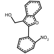 O=[N+]([O-])c1ccccc1-c1oc2ccccc2c1CO